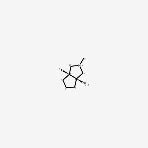 CN1C[C@]2(N)CCC[C@]2(F)C1